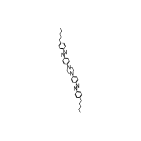 CCCCCc1ccc(/N=N/c2ccc(N3CCN(c4ccc(/N=N/c5ccc(CCCCC)cc5)cc4)CC3)cc2)cc1